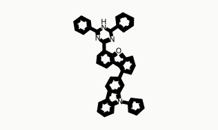 c1ccc(C2=NC(c3cccc4c3oc3cccc(-c5ccc6c7ccccc7n(-c7ccccc7)c6c5)c34)=NC(c3ccccc3)N2)cc1